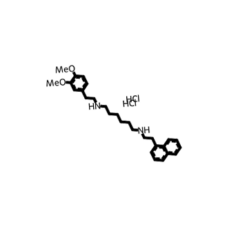 COc1ccc(CCNCCCCCCNCCc2cccc3ccccc23)cc1OC.Cl.Cl